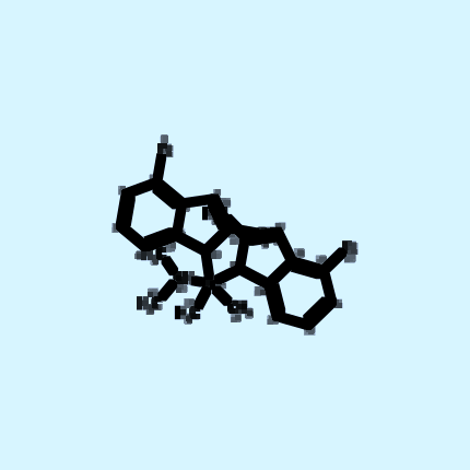 CCc1cccc2c1C=C(C)[CH]2[Zr]([CH3])([CH3])([CH]1C(C)=Cc2c(CC)cccc21)[SiH](C)C